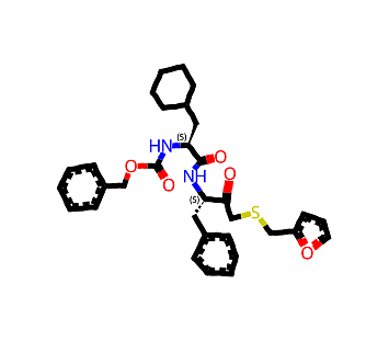 O=C(N[C@@H](CC1CCCCC1)C(=O)N[C@@H](Cc1ccccc1)C(=O)CSCc1ccco1)OCc1ccccc1